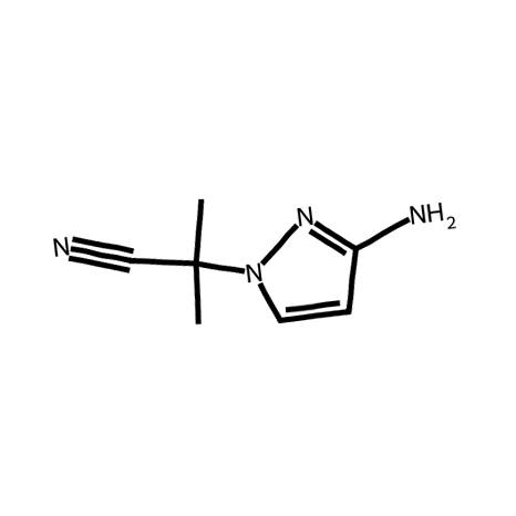 CC(C)(C#N)n1ccc(N)n1